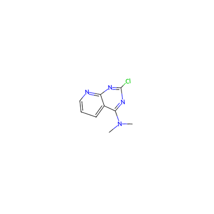 CN(C)c1nc(Cl)nc2ncccc12